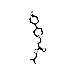 CC(C)COC(=O)CCN1CCC(C2CCN(C)CC2)CC1